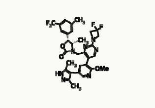 COc1ncc(-c2c(C)n[nH]c2C)cc1-c1cnc(N2CC(F)(F)C2)nc1CN1C(=O)O[C@H](c2cc(C)cc(C(F)(F)F)c2)[C@@H]1C